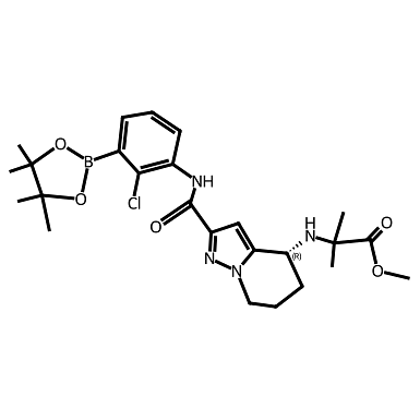 COC(=O)C(C)(C)N[C@@H]1CCCn2nc(C(=O)Nc3cccc(B4OC(C)(C)C(C)(C)O4)c3Cl)cc21